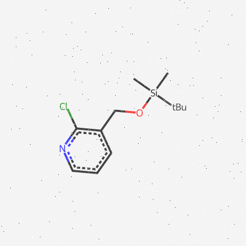 CC(C)(C)[Si](C)(C)OCc1cccnc1Cl